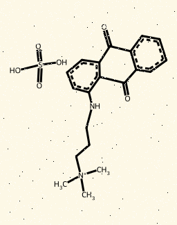 C[N+](C)(C)CCCNc1cccc2c1C(=O)c1ccccc1C2=O.O=S(=O)(O)O